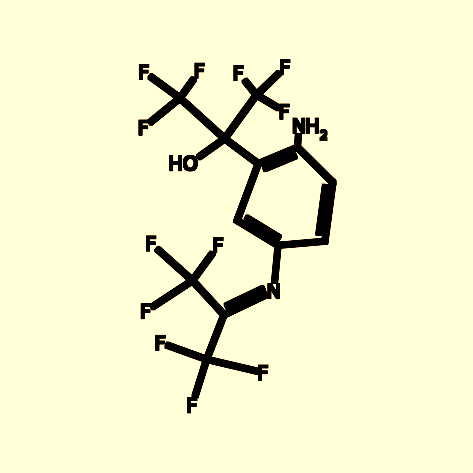 Nc1ccc(N=C(C(F)(F)F)C(F)(F)F)cc1C(O)(C(F)(F)F)C(F)(F)F